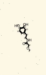 COCC(=O)NCCc1ccc(O)c(O)c1